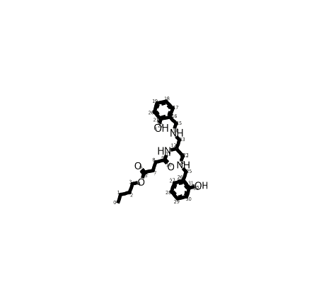 CCCCOC(=O)CCC(=O)NC(CNCc1ccccc1O)CNCc1ccccc1O